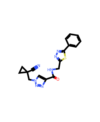 N#CC1(Cn2cc(C(=O)NCc3nnc(-c4ccccc4)s3)nn2)CC1